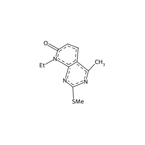 CCn1c(=O)ccc2c(C)nc(SC)nc21